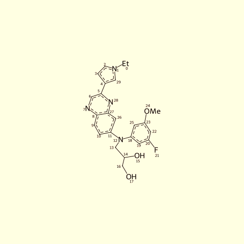 CCn1ccc(-c2cnc3ccc(N(CC(O)CO)c4cc(F)cc(OC)c4)cc3n2)c1